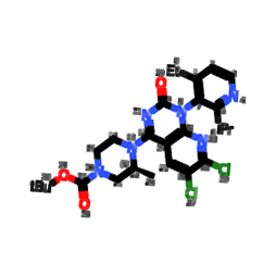 CCc1ccnc(C(C)C)c1-n1c(=O)nc(N2CCN(C(=O)OC(C)(C)C)C[C@@H]2C)c2cc(Cl)c(Cl)nc21